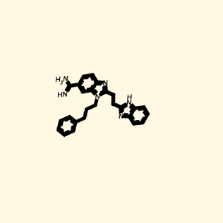 N=C(N)c1ccc2nc(CCc3nc4ccccc4[nH]3)n(CCCc3ccccc3)c2c1